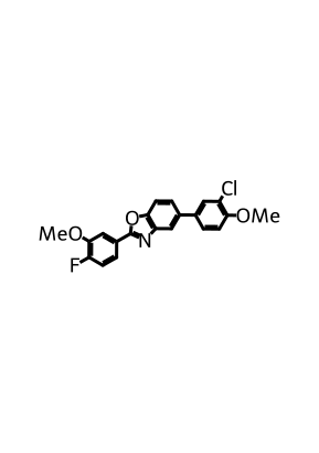 COc1cc(-c2nc3cc(-c4ccc(OC)c(Cl)c4)ccc3o2)ccc1F